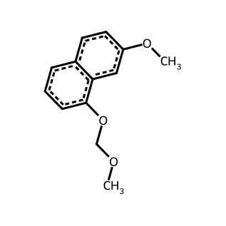 COCOc1cccc2ccc(OC)cc12